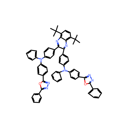 CC(C)(C)c1ccc(C(C)(C)C)c2nc(-c3ccc(N(c4ccccc4)c4ccc(-c5nnc(-c6ccccc6)o5)cc4)cc3)c(-c3ccc(N(c4ccccc4)c4ccc(-c5nnc(-c6ccccc6)o5)cc4)cc3)nc12